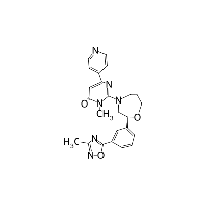 Cc1noc(-c2cccc([C@H]3CN(c4nc(-c5ccncc5)cc(=O)n4C)CCCO3)c2)n1